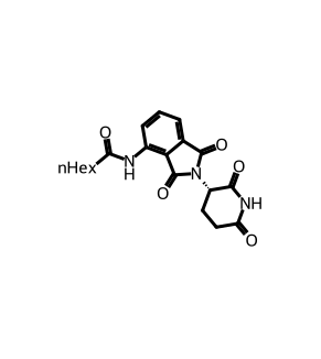 CCCCCCC(=O)Nc1cccc2c1C(=O)N([C@H]1CCC(=O)NC1=O)C2=O